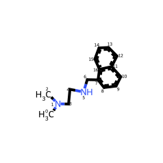 CN(C)CCNCc1cccc2ccccc12